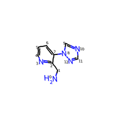 NCc1ncccc1-n1cncn1